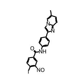 Cc1ccc2nc(-c3ccc(NC(=O)c4ccc(I)c(N=O)c4)cc3)cn2c1